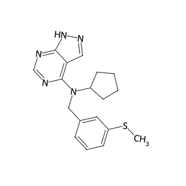 CSc1cccc(CN(c2ncnc3[nH]ncc23)C2CCCC2)c1